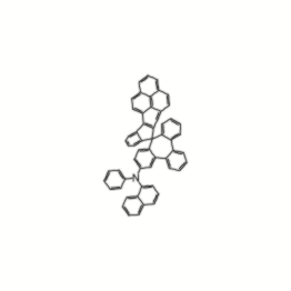 c1ccc(N(c2ccc3c(c2)-c2ccccc2-c2ccccc2C32c3ccccc3-c3c2cc2ccc4cccc5ccc3c2c45)c2cccc3ccccc23)cc1